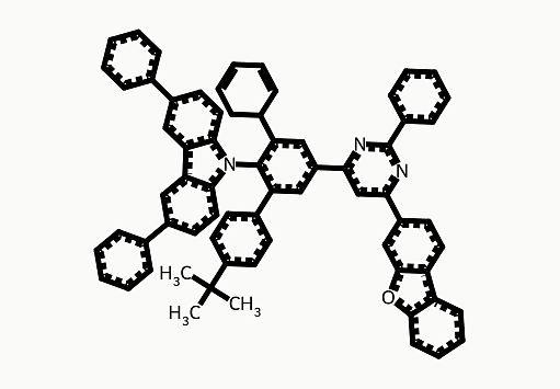 CC(C)(C)c1ccc(-c2cc(-c3cc(-c4ccc5c(c4)oc4ccccc45)nc(-c4ccccc4)n3)cc(C3C=CC=CC3)c2-n2c3ccc(-c4ccccc4)cc3c3cc(-c4ccccc4)ccc32)cc1